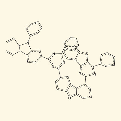 C=CC1c2ccc(-c3nc(-c4ccccc4)nc(-c4ccc5oc6cccc(-c7nc(-c8ccccc8)c8sc9ccccc9c8n7)c6c5c4)n3)cc2N(c2ccccc2)C1C=C